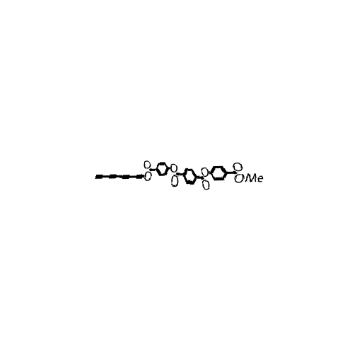 C#CC#CC#CC#COC(=O)c1ccc(OC(=O)c2ccc(C(=O)Oc3ccc(C(=O)OC)cc3)cc2)cc1